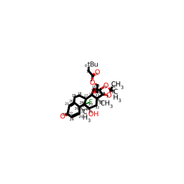 CC(C)(C)CC(=O)OCC(=O)[C@@]12OC(C)(C)OC1CC1C3CCC4=CC(=O)C=C[C@]4(C)[C@@]3(F)[C@@H](O)C[C@@]12C